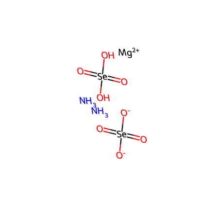 N.N.O=[Se](=O)(O)O.O=[Se](=O)([O-])[O-].[Mg+2]